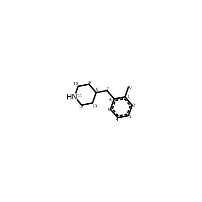 Cc1ccccc1CC1CCNCC1